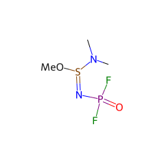 COS(=NP(=O)(F)F)N(C)C